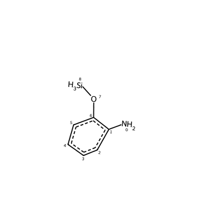 Nc1ccccc1O[SiH3]